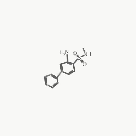 CNS(=O)(=O)c1ccc(-c2ccccc2)cc1N